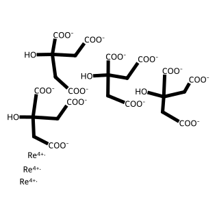 O=C([O-])CC(O)(CC(=O)[O-])C(=O)[O-].O=C([O-])CC(O)(CC(=O)[O-])C(=O)[O-].O=C([O-])CC(O)(CC(=O)[O-])C(=O)[O-].O=C([O-])CC(O)(CC(=O)[O-])C(=O)[O-].[Re+4].[Re+4].[Re+4]